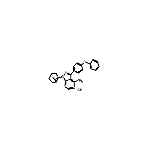 Cl.Nc1ncnc2c1c(-c1ccc(Oc3ccccc3)cc1)nn2C1CC2CCC1NC2